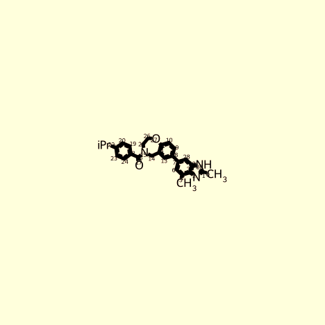 Cc1nc2c(C)cc(-c3ccc4c(c3)CN(C(=O)c3ccc(C(C)C)cc3)CCO4)cc2[nH]1